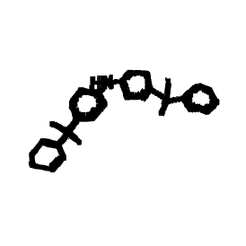 CC(C)(C1=CCCC=C1)c1ccc(Nc2ccc(C(C)(C)c3ccccc3)cc2)cc1